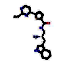 CNc1nccc(-c2ccc(C(=O)NC[C@@H](N)Cc3c[nH]c4ccccc34)s2)n1